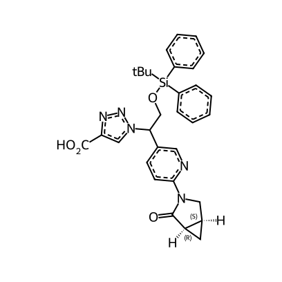 CC(C)(C)[Si](OCC(c1ccc(N2C[C@H]3C[C@H]3C2=O)nc1)n1cc(C(=O)O)nn1)(c1ccccc1)c1ccccc1